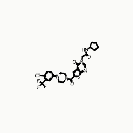 O=C(Cn1cnc2sc(C(=O)N3CCN(c4ccc(Cl)c(C(F)(F)F)c4)CC3)cc2c1=O)NC1CCCC1